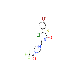 O=C(c1sc2cc(Br)ccc2c1Cl)N1CC(N2CCN(C(=O)C(F)(F)F)CC2)C1